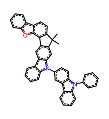 CC1(C)c2cc3c(cc2-c2c1ccc1c2oc2ccccc21)c1ccccc1n3-c1ccc2c(c1)c1ccccc1n2-c1ccccc1